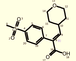 CS(=O)(=O)c1ccc(/C(=C\C2CCOCC2)C(=O)O)cc1